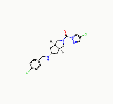 O=C(N1C[C@H]2C[C@H](NCc3ccc(Cl)cc3)C[C@H]2C1)n1cc(Cl)cn1